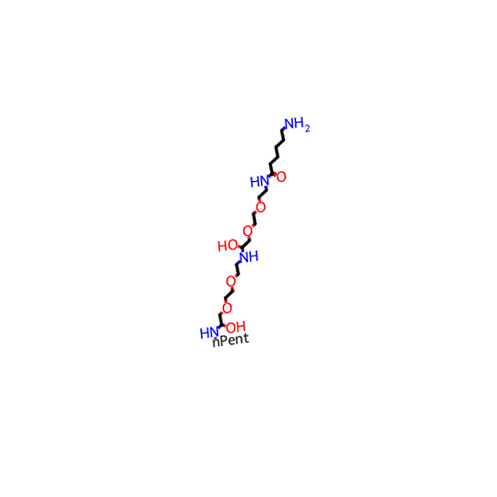 CCCCCNC(O)COCCOCCNC(O)COCCOCCNC(=O)CCCCCN